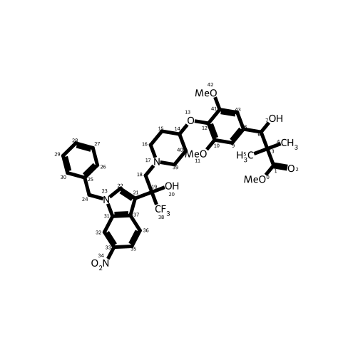 COC(=O)C(C)(C)C(O)c1cc(OC)c(OC2CCN(CC(O)(c3cn(Cc4ccccc4)c4cc([N+](=O)[O-])ccc34)C(F)(F)F)CC2)c(OC)c1